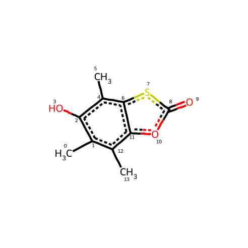 Cc1c(O)c(C)c2sc(=O)oc2c1C